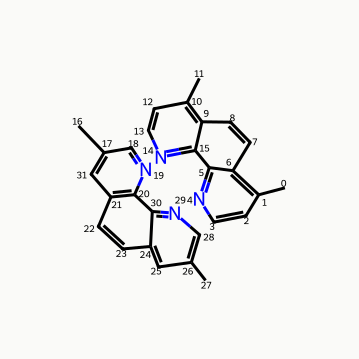 Cc1ccnc2c1ccc1c(C)ccnc12.Cc1cnc2c(ccc3cc(C)cnc32)c1